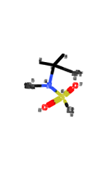 CCCC(C)(C)N(C(C)(C)C)S(=O)(=O)CC